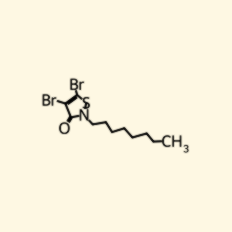 CCCCCCCCn1sc(Br)c(Br)c1=O